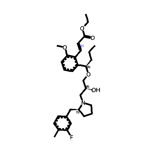 CCC[C@@H](OC[C@H](O)CN1CCC[C@H]1Cc1ccc(C)c(F)c1)c1cccc(OC)c1/C=C/C(=O)OCC